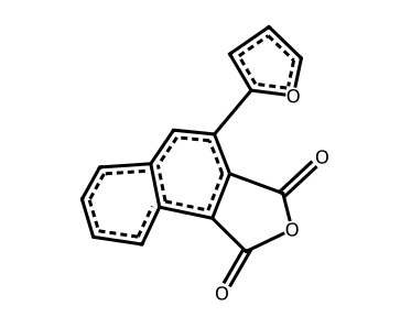 O=C1OC(=O)c2c1c(-c1ccco1)cc1ccccc21